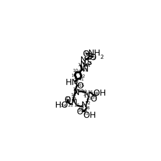 NS(=O)(=O)c1nn2cc(-c3ccc(NC(=O)CN4CCN(CC(=O)O)CCN(CC(=O)O)CCN(CC(=O)O)CC4)cc3)nc2s1